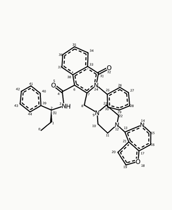 CC[C@H](NC(=O)c1c(CN2CCN(c3nccc4occc34)CC2)n(-c2ccccc2)c(=O)c2ccccc12)c1ccccc1